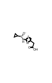 O=C(O)Cc1csc(N[S+]([O-])C2CC2)n1